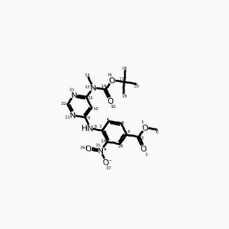 COC(=O)c1ccc(Nc2cc(N(C)C(=O)OC(C)(C)C)ncn2)c([N+](=O)[O-])c1